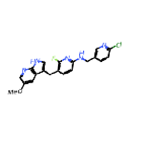 COc1cnc2[nH]cc(Cc3ccc(NCc4ccc(Cl)nc4)nc3F)c2c1